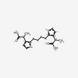 CC(C(=O)O)c1ccsc1CCCCc1sccc1C(C)C(=O)O